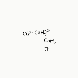 [CaH2].[CaH2].[Cu+2].[O-2].[Tl]